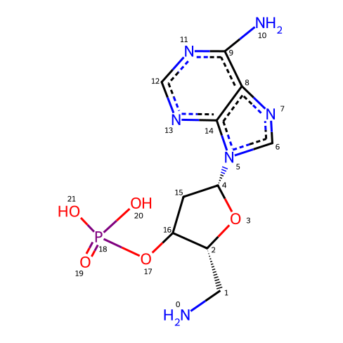 NC[C@H]1O[C@@H](n2cnc3c(N)ncnc32)CC1OP(=O)(O)O